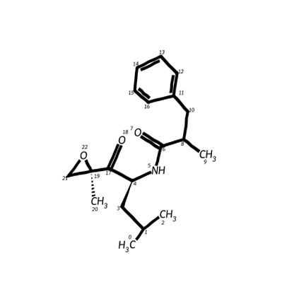 CC(C)C[C@H](NC(=O)C(C)Cc1ccccc1)C(=O)[C@@]1(C)CO1